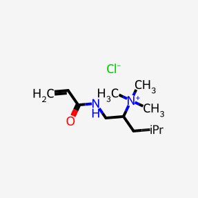 C=CC(=O)NCC(CC(C)C)[N+](C)(C)C.[Cl-]